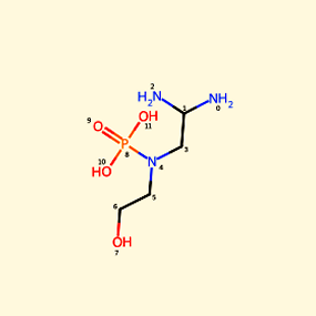 NC(N)CN(CCO)P(=O)(O)O